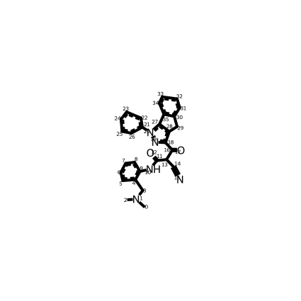 CN(C)Cc1ccccc1NC(=O)C(C#N)C(=O)c1nn(-c2ccccc2)c2c1Cc1ccccc1-2